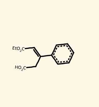 CCOC(=O)C=C(CC(=O)O)c1ccccc1